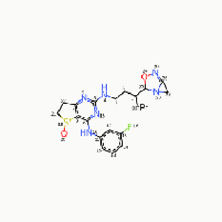 CCCC(CCNc1nc2c(c(Nc3cccc(F)c3)n1)[S+]([O-])CC2)C1ON=C2CN21